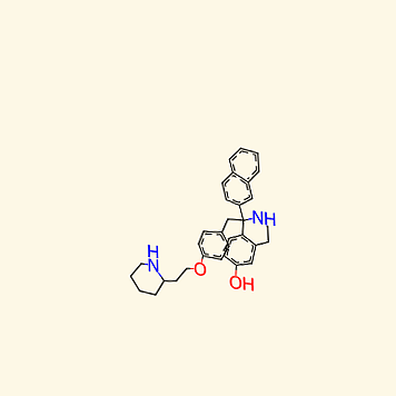 Oc1ccc2c(c1)CCNC2(Cc1ccc(OCCC2CCCCN2)cc1)c1ccc2ccccc2c1